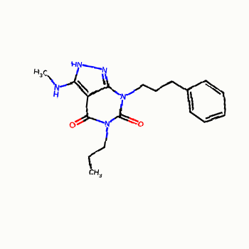 CCCn1c(=O)c2c(NC)[nH]nc2n(CCCc2ccccc2)c1=O